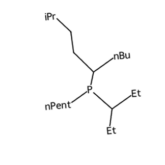 CCCCCP(C(CC)CC)C(CCCC)CCC(C)C